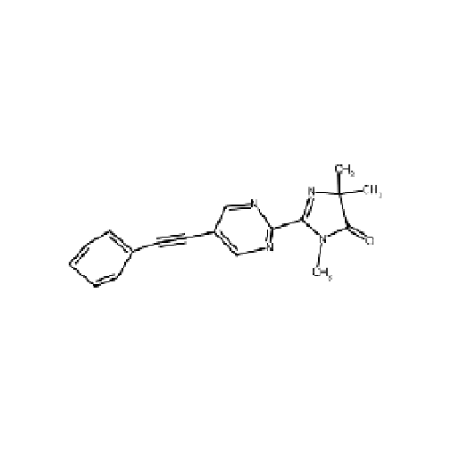 CN1C(=O)C(C)(C)N=C1c1ncc(C#Cc2ccccc2)cn1